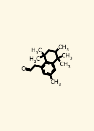 Cc1cc(CC=O)c2c(c1)C(C)(C)C(C)CC2(C)C